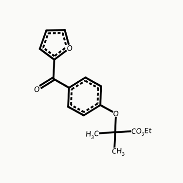 CCOC(=O)C(C)(C)Oc1ccc(C(=O)c2ccco2)cc1